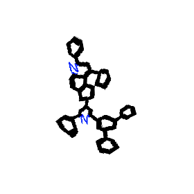 c1ccc(-c2cc(-c3ccccc3)cc(-c3cc(-c4ccc5c(ccc6nc(-c7ccccc7)cc(-c7ccccc7)c65)c4)cc(-c4ccccc4)n3)c2)cc1